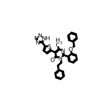 Cc1nc(-c2ccccc2OCc2ccccc2)n(CCc2ccccc2)c(=O)c1-c1ccc(-c2nnn[nH]2)s1